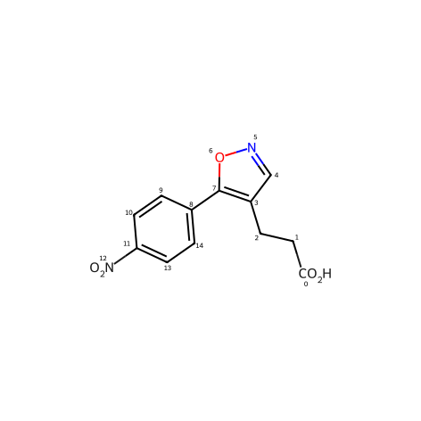 O=C(O)CCc1cnoc1-c1ccc([N+](=O)[O-])cc1